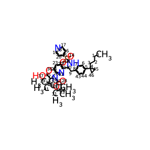 CCCCC1(c2ccc(CC(NS(=O)(=O)c3ccncc3)c3cccc(N(C(=O)OC(C)(C)C)C(C(=O)O)C(C)(C)C)n3)cc2)CC1